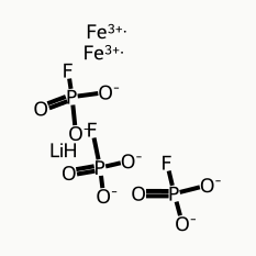 O=P([O-])([O-])F.O=P([O-])([O-])F.O=P([O-])([O-])F.[Fe+3].[Fe+3].[LiH]